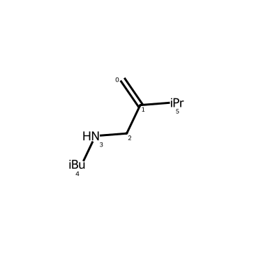 C=C(CNC(C)CC)C(C)C